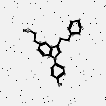 N#Cc1ccc(-n2cc(CCc3ccccc3)c3cc(CCC(=O)O)ccc32)cc1